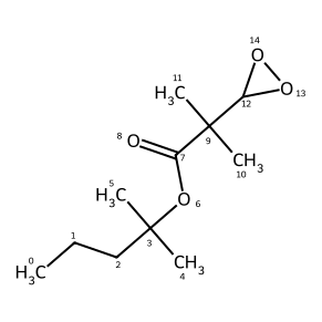 CCCC(C)(C)OC(=O)C(C)(C)C1OO1